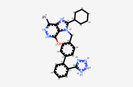 CC(C)c1nnc(O)c2c1nc(C1CCCCC1)n2Cc1ccc(-c2ccccc2-c2nnn[nH]2)cc1